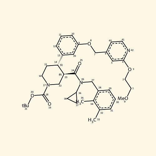 COCCOc1cc(COc2cccc([C@H]3CCN(C(=O)OC(C)(C)C)C[C@@H]3C(=O)N(Cc3cccc(C)c3C)C3CC3)c2)ccn1